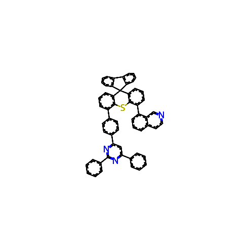 c1ccc(-c2cc(-c3ccc(-c4cccc5c4Sc4c(-c6cccc7ccncc67)cccc4C54c5ccccc5-c5ccccc54)cc3)nc(-c3ccccc3)n2)cc1